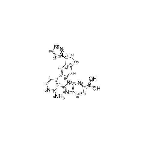 Nc1ncccc1-c1nc2ccc(B(O)O)nc2n1-c1ccc2c(c1)CC[C@@H]2n1ccnn1